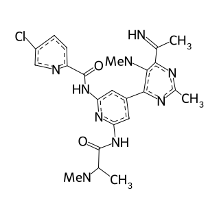 CNc1c(C(C)=N)nc(C)nc1-c1cc(NC(=O)c2ccc(Cl)cn2)nc(NC(=O)C(C)NC)c1